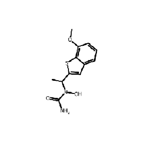 COc1cccc2cc(C(C)N(O)C(N)=O)sc12